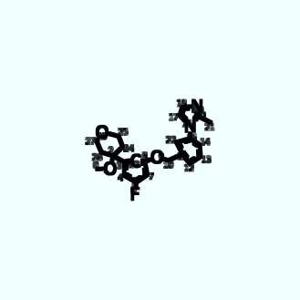 COC1(c2cc(F)cc(OCc3cccc(-n4ccnc4C)c3)c2)CCOCC1